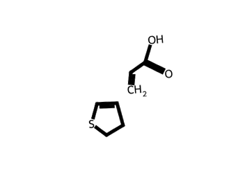 C1=CSCC1.C=CC(=O)O